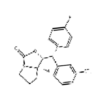 O=C1O[C@H]([C@H](c2ccc(F)cc2)c2cccc(C(F)(F)F)c2)[C@H]2CCCN12